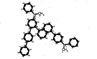 CN(c1ccccc1)c1ccc(-c2cccc3c(-c4cc(N(C)c5ccccc5)ccc4-c4ccc(-c5ccccc5)cc4)cccc23)cc1